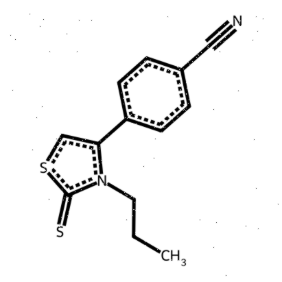 CCCn1c(-c2ccc(C#N)cc2)csc1=S